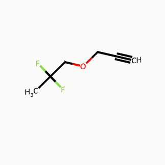 C#CCO[CH]C(C)(F)F